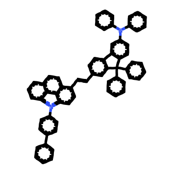 C(=C\c1ccc2c3c1ccc1cccc(c13)n2-c1ccc(-c2ccccc2)cc1)/c1ccc2c(c1)C(c1ccccc1)(c1ccccc1)c1ccc(N(c3ccccc3)c3ccccc3)cc1-2